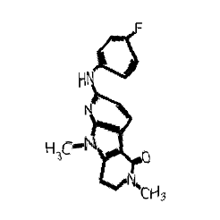 CN1CCc2c(c3ccc(Nc4ccc(F)cc4)nc3n2C)C1=O